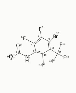 CC(=O)Nc1c(F)c(F)c(Br)c(C(F)(F)F)c1F